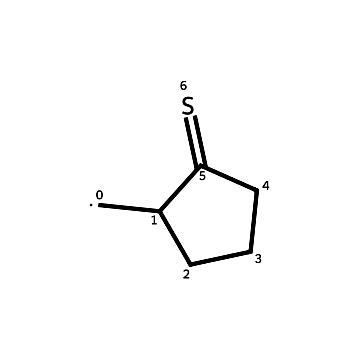 [CH2]C1CCCC1=S